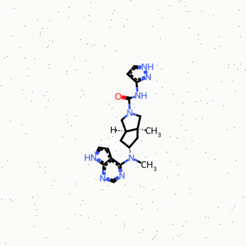 CN(c1ncnc2[nH]ccc12)[C@@H]1C[C@H]2CN(C(=O)Nc3cc[nH]n3)C[C@@]2(C)C1